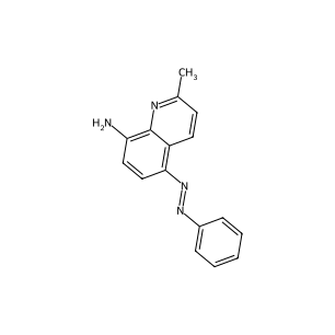 Cc1ccc2c(N=Nc3ccccc3)ccc(N)c2n1